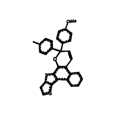 COc1ccc(C2(c3ccc(C)cc3)C=Cc3c(c4sc5ccsc5c4c4ccccc34)O2)cc1